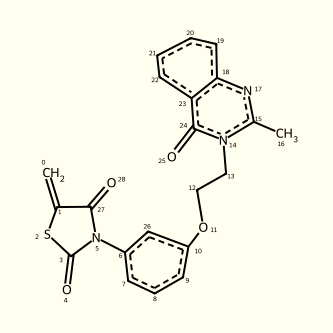 C=C1SC(=O)N(c2cccc(OCCn3c(C)nc4ccccc4c3=O)c2)C1=O